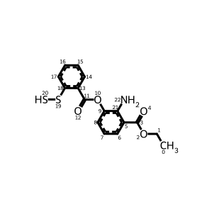 CCOC(=O)c1cccc(OC(=O)c2ccccc2SS)c1N